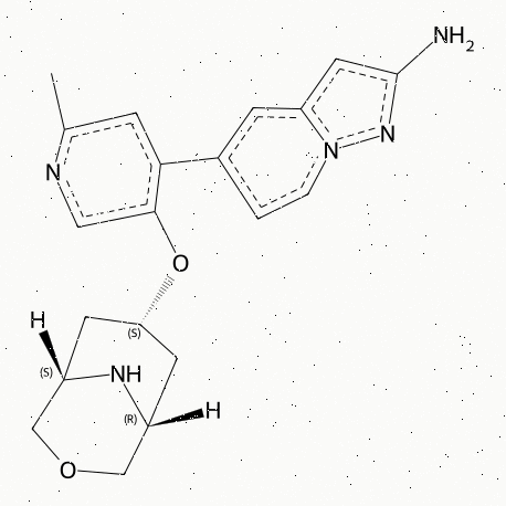 Cc1cc(-c2ccn3nc(N)cc3c2)c(O[C@H]2C[C@H]3COC[C@@H](C2)N3)cn1